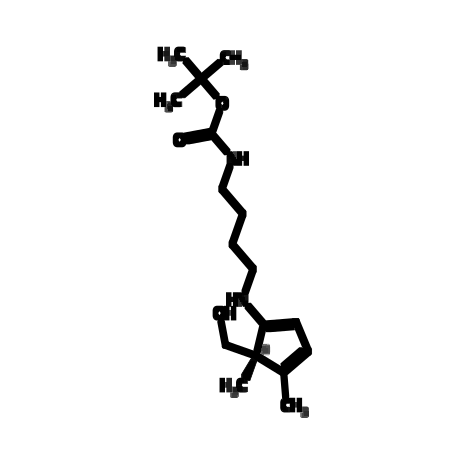 CC1=CC=C(NCCCCNC(=O)OC(C)(C)C)[C@@]1(C)CO